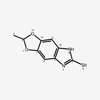 CC1Oc2cc3nc(S)[nH]c3cc2O1